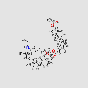 C#CCN(C)CCCCCCO[Si](C)(C)OC(CC[C@H](C)C1CCC2C3CCC4C[C@@H](OC(=O)C(C)(C)C)CC[C@@]4(C)C3CC[C@]21C)OC1CCC2(C)C(=CCC3C2CCC2(C)C(C(C)/C=C/C(CC)C(C)C)CCC32)C1